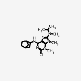 CC(C)N(C)c1nc2c(n1C)N(C)C(Cl)=NC2NC1CC2CCC1C2